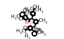 Cc1cc2c3c(c1)C(c1ccc(C(C)(C)C)cc1)c1c(oc4cc5c(cc14)C(C)(C)CCC5(C)C)B3c1cc(C(C)(C)C)cc(C3(C)CCCCC3(C)C)c1C2